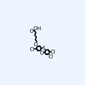 O=C(O)CCCCCOc1cc2c(cc1Cl)Oc1cc(Cl)c(Cl)cc1S2